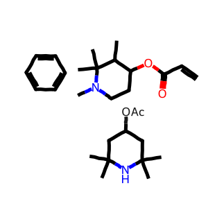 C=CC(=O)OC1CCN(C)C(C)(C)C1C.CC(=O)OC1CC(C)(C)NC(C)(C)C1.c1ccccc1